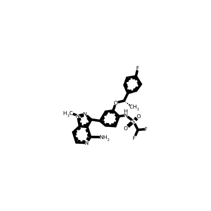 C[C@H](Oc1cc(-c2nn(C)c3ccnc(N)c23)ccc1NS(=O)(=O)C(F)F)c1ccc(F)cc1